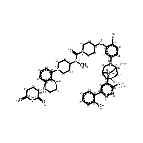 CN(C(=O)N1CCC(Oc2cc(N3CC4COC[C@H]3CN4c3cc(-c4ccccc4O)nnc3N)ccc2F)CC1)C1CCN(c2cccc3c2OCCN3[C@H]2CCC(=O)NC2=O)CC1